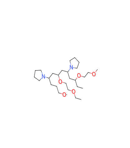 CCOCCOC(CC(CCC[O])N1CCCC1)CC(CC(CC)OCCOC)N1CCCC1